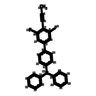 CC#Cc1c(F)cc(-c2ccc(N(c3ccccc3)c3ccccc3)cc2)cc1F